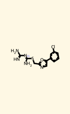 N=C(N)/N=C(\N)SCc1ncc(-c2cccc(Cl)c2)o1